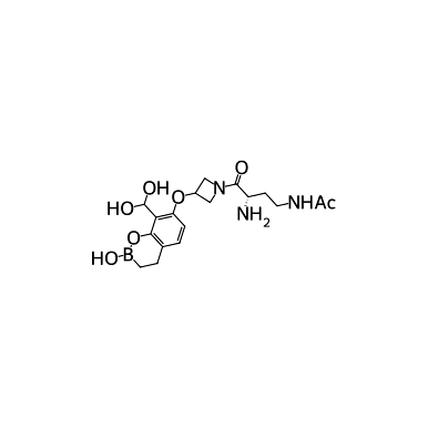 CC(=O)NCC[C@H](N)C(=O)N1CC(Oc2ccc3c(c2C(O)O)OB(O)CC3)C1